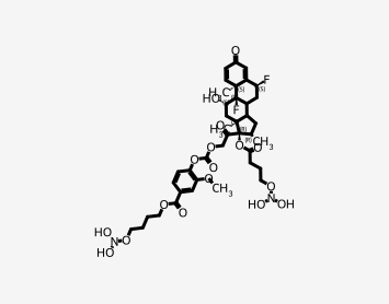 COc1cc(C(=O)OCCCCON(O)O)ccc1OC(=O)OCC(=O)[C@@]1(OC(=O)CCCON(O)O)[C@H](C)CC2C3C[C@H](F)C4=CC(=O)C=C[C@]4(C)[C@@]3(F)[C@@H](O)C[C@@]21C